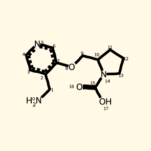 NCc1ccncc1OCC1CCCN1C(=O)O